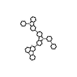 c1ccc(-c2cccc(-n3c4ccc(-c5ccc6c(c5)c5ccccc5n6-c5ccccc5)cc4c4cc(-c5cc6c7c(cccc7n5)-c5ccccc5-6)ccc43)c2)cc1